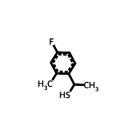 Cc1cc(F)ccc1C(C)S